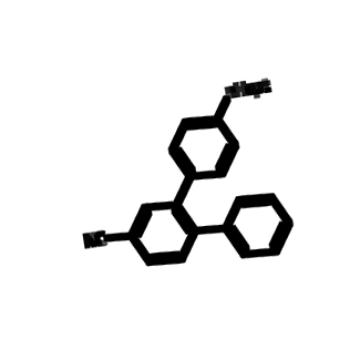 CCCCCCCc1ccc(-c2cc(C#N)ccc2-c2ccccc2)cc1